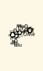 COc1ccccc1C(OC)(OC)C1CC(CCO[Si](C)(C)C(C)(C)C)(c2ccccc2)C(=O)N1